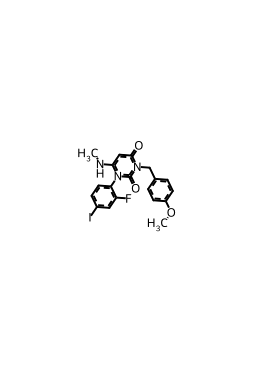 CNc1cc(=O)n(Cc2ccc(OC)cc2)c(=O)n1-c1ccc(I)cc1F